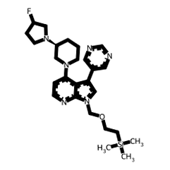 C[Si](C)(C)CCOCn1cc(-c2cncnc2)c2c(N3CCC[C@H](N4CCC(F)C4)C3)ccnc21